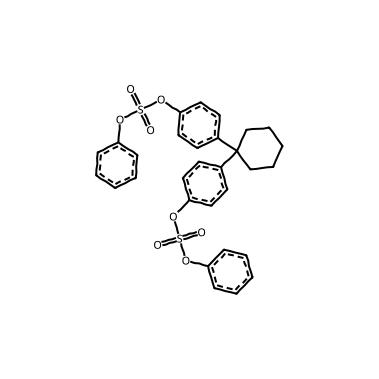 O=S(=O)(Oc1ccccc1)Oc1ccc(C2(c3ccc(OS(=O)(=O)Oc4ccccc4)cc3)CCCCC2)cc1